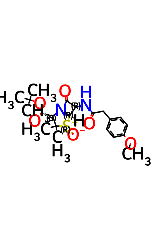 COc1ccc(CC(=O)N[C@@H]2C(=O)N3[C@@H]2[S@@+]([O-])C(C)(C)[C@@H]3C(=O)OC(C)(C)C)cc1